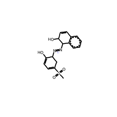 CS(=O)(=O)C1=CC=C(O)C(/N=N/C2c3ccccc3C=CC2O)C1